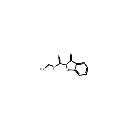 CCNC(=O)n1oc2ccccc2c1=O